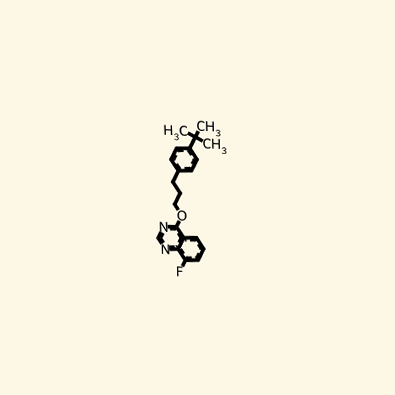 CC(C)(C)c1ccc(CCCOc2ncnc3c(F)cccc23)cc1